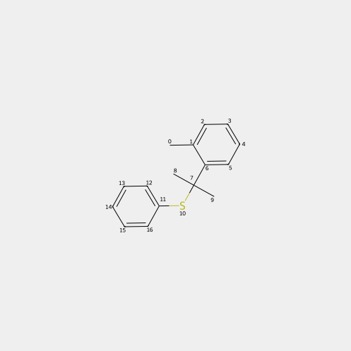 Cc1ccccc1C(C)(C)Sc1ccccc1